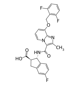 Cc1nc2c(OCc3c(F)cccc3F)cccn2c1C(=O)N[C@@H]1c2ccc(F)cc2C[C@H]1C(=O)O